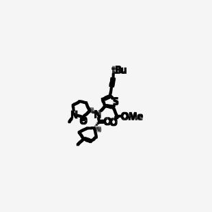 COC(=O)c1sc(C#CC(C)(C)C)cc1N(C(=O)[C@@H]1CC=C(C)CC1)[C@H]1CCCN(C)C1=O